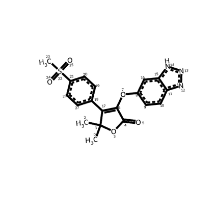 CC1(C)OC(=O)C(Oc2ccc3nn[nH]c3c2)=C1c1ccc(S(C)(=O)=O)cc1